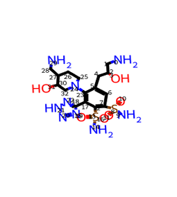 NCC(O)Cc1cc(S(N)(=O)=O)c(S(N)(=O)=O)c(-c2nn[nH]n2)c1N1CCC(CN)C(O)C1